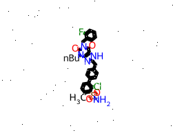 CCCCn1c(=O)n(Cc2ccccc2F)c(=O)c2[nH]c(Cc3ccc(-c4ccc(C)c(S(N)(=O)=O)c4Cl)cc3)nc21